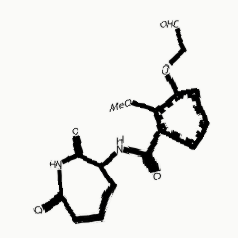 COc1c(OCC=O)cccc1C(=O)NC1CCCC(=O)NC1=O